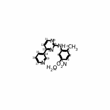 Cc1ccc([N+](=O)[O-])cc1Nc1nccc(-c2cccnc2)n1.O